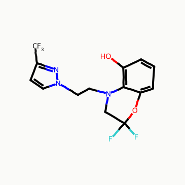 Oc1cccc2c1N(CCn1ccc(C(F)(F)F)n1)CC(F)(F)O2